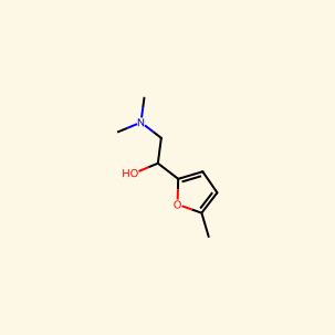 Cc1ccc(C(O)CN(C)C)o1